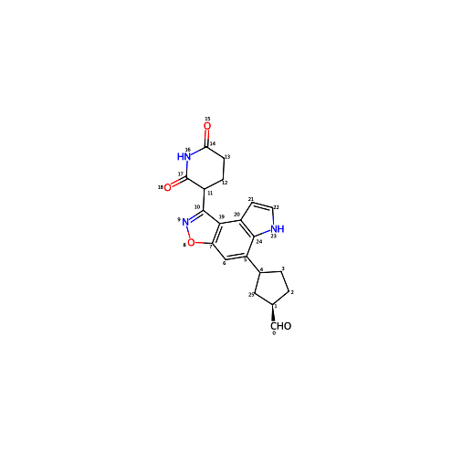 O=C[C@@H]1CCC(c2cc3onc(C4CCC(=O)NC4=O)c3c3cc[nH]c23)C1